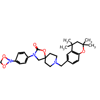 CC1(C)CC(C)(C)c2cc(CN3CCC4(CC3)CN(c3ccc(N5OCO5)cc3)C(=O)O4)ccc2O1